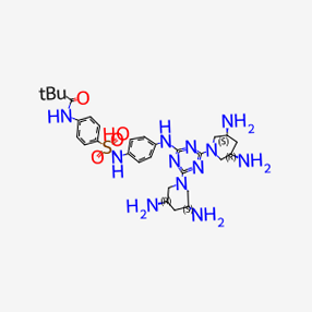 CC(C)(C)C(=O)Nc1ccc(S(=O)(=O)Nc2ccc(Nc3nc(N4C[C@H](N)C[C@H](N)C4)nc(N4C[C@H](N)C[C@H](N)C4)n3)cc2O)cc1